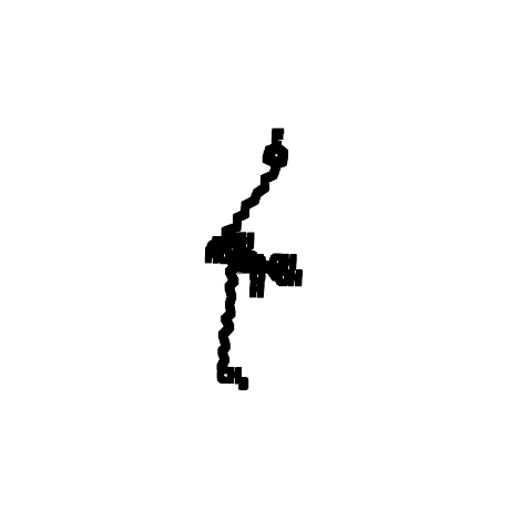 CCCCCCCCCCCCCC[C@@H](O)[C@@H](O)[C@H](COC[C@H](O)[C@@H](O)CO)NC1(CCCCCCCCCCc2ccc(F)cc2)COC1